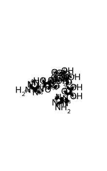 Nc1ncnc2c1ncn2[C@@H]1O[C@H](COP(=O)(O)OP(=O)(O)OP(=O)(O)OP(=O)(O)OC[C@H]2O[C@@H](n3cnc4c(N)ncnc43)C(O)C2O)C(O)C1O